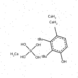 Cc1ccc(O)c(C(C)(C)C)c1C(C)(C)C.O[Si](O)(O)O.[CaH2].[CaH2].[CaH2]